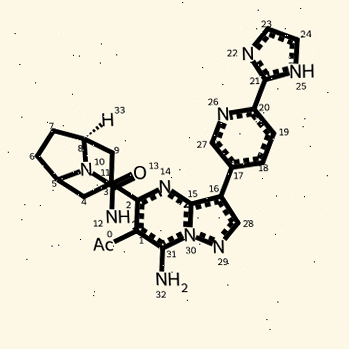 CC(=O)c1c(C2CC3CC[C@@H](C2)N3C(N)=O)nc2c(-c3ccc(-c4ncc[nH]4)nc3)cnn2c1N